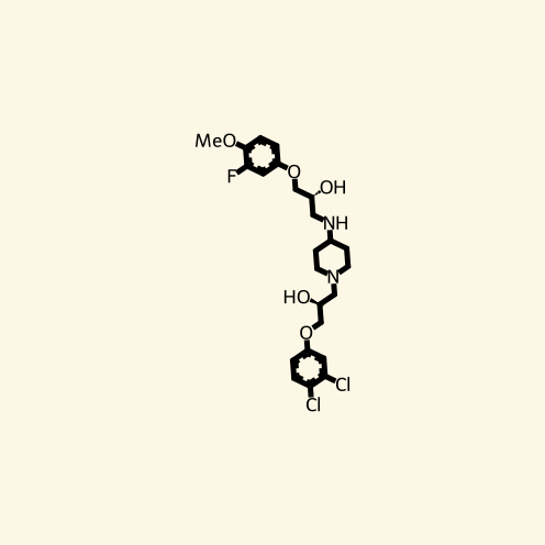 COc1ccc(OC[C@H](O)CNC2CCN(C[C@H](O)COc3ccc(Cl)c(Cl)c3)CC2)cc1F